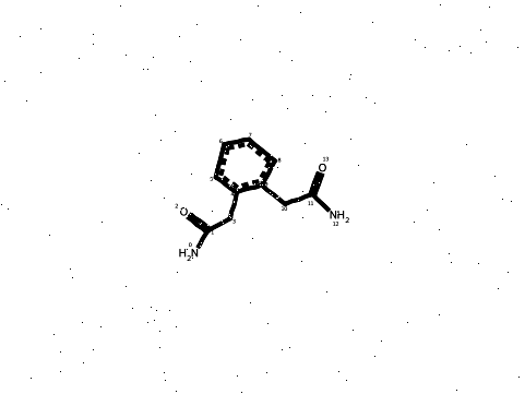 NC(=O)Cc1ccccc1CC(N)=O